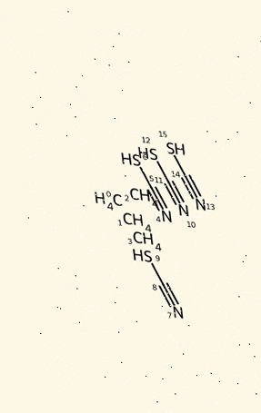 C.C.C.C.N#CS.N#CS.N#CS.N#CS